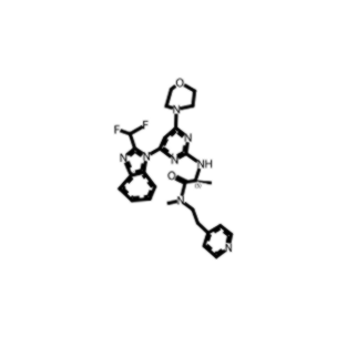 C[C@H](Nc1nc(N2CCOCC2)cc(-n2c(C(F)F)nc3ccccc32)n1)C(=O)N(C)CCc1ccncc1